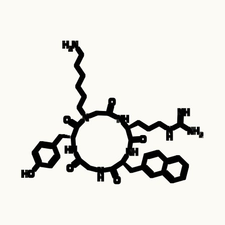 N=C(N)NCCC[C@@H]1NC(=O)CN(CCCCCCN)C(=O)[C@@H](Cc2ccc(O)cc2)NC(=O)CNC(=O)[C@H](Cc2ccc3ccccc3c2)NC1=O